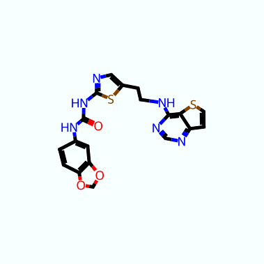 O=C(Nc1ccc2c(c1)OCO2)Nc1ncc(CCNc2ncnc3ccsc23)s1